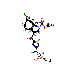 CC(N[S@@+]([O-])C(C)(C)C)c1csc(C(=O)c2cn(C(=O)OC(C)(C)C)c3cc(F)ccc23)n1